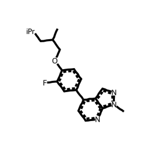 CC(C)CC(C)COc1ccc(-c2ccnc3c2cnn3C)cc1F